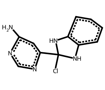 Nc1cc(C2(Cl)Nc3ccccc3N2)ncn1